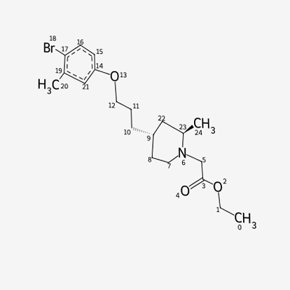 CCOC(=O)CN1CC[C@H](CCCOc2ccc(Br)c(C)c2)C[C@H]1C